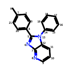 Cc1ccc(-c2nc3ncccc3n2-c2ccccc2)cc1